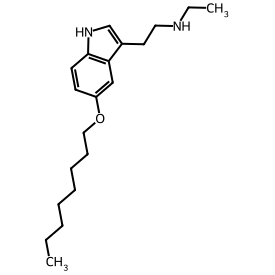 CCCCCCCCOc1ccc2[nH]cc(CCNCC)c2c1